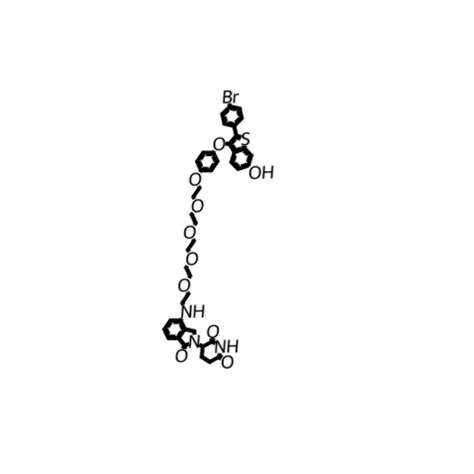 O=C1CCC(N2Cc3c(NCCOCCOCCOCCOCCOc4ccc(Oc5c(-c6ccc(Br)cc6)sc6cc(O)ccc56)cc4)cccc3C2=O)C(=O)N1